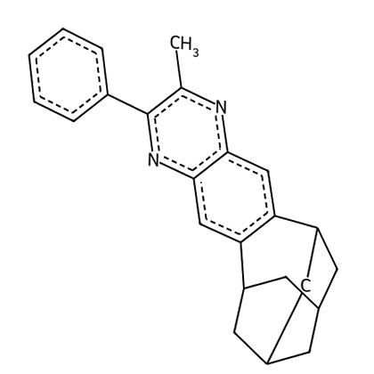 Cc1nc2cc3c(cc2nc1-c1ccccc1)C1CC2CC(CC3C2)C1